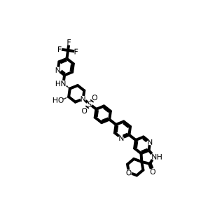 O=C1Nc2ncc(-c3ccc(-c4ccc(S(=O)(=O)N5CC[C@@H](Nc6ccc(C(F)(F)F)cn6)[C@@H](O)C5)cc4)cn3)cc2C12CCOCC2